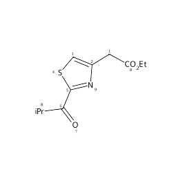 CCOC(=O)Cc1csc(C(=O)C(C)C)n1